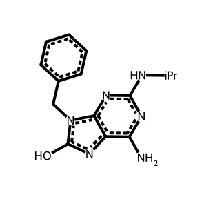 CC(C)Nc1nc(N)c2nc(O)n(Cc3ccccc3)c2n1